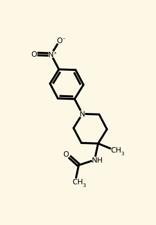 CC(=O)NC1(C)CCN(c2ccc([N+](=O)[O-])cc2)CC1